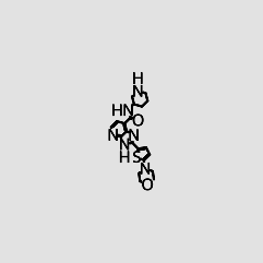 O=C(NC1CCCNC1)c1ccnc2[nH]c(-c3ccc(N4CCOCC4)s3)nc12